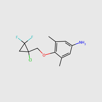 Cc1cc(N)cc(C)c1OCC1(Cl)CC1(F)F